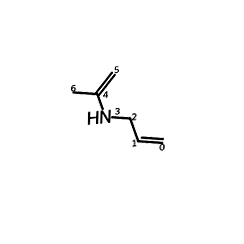 C=CCNC(=C)C